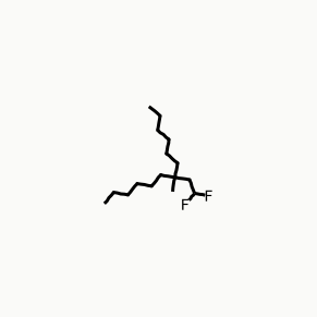 CCCCCCC(C)(CCCCCC)CC(F)F